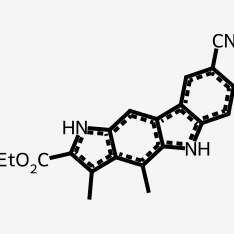 CCOC(=O)c1[nH]c2cc3c([nH]c4ccc(C#N)cc43)c(C)c2c1C